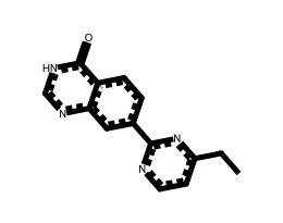 CCc1ccnc(-c2ccc3c(=O)[nH]cnc3c2)n1